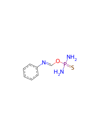 NP(N)(=S)OC=Nc1ccccc1